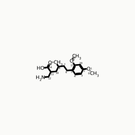 COc1ccc(CCC(C)CC(CN)C(=O)O)c(OC)c1